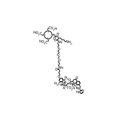 Cc1cc(OCCCC(=O)NCCCOCCOCCOCCCNC(=O)C(CCCCN)NC(=O)CN2CCN(CC(=O)O)CCN(CC(=O)O)CCN(CC(=O)O)CC2)cc(C)c1S(=O)(=O)NC(CNC(=O)C1CC(=O)c2ccc(CNc3ncc[nH]3)cc2N1C)C(=O)O